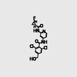 O=C(Nc1ccnc(NC(=O)[C@H]2C[C@H]2F)c1)c1c(Cl)cc(CO)cc1Cl